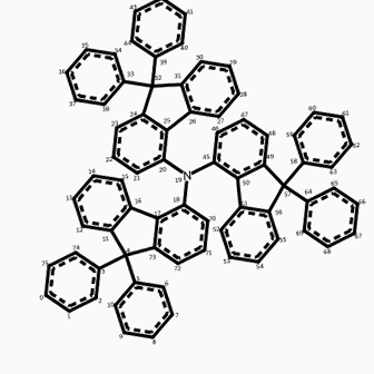 c1ccc(C2(c3ccccc3)c3ccccc3-c3c(N(c4cccc5c4-c4ccccc4C5(c4ccccc4)c4ccccc4)c4cccc5c4-c4ccccc4C5(c4ccccc4)c4ccccc4)cccc32)cc1